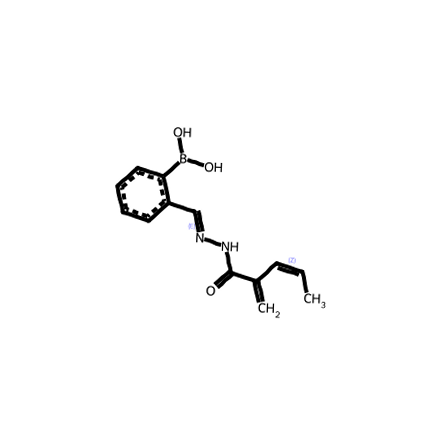 C=C(/C=C\C)C(=O)N/N=C/c1ccccc1B(O)O